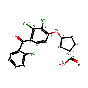 O=C(c1ccccc1Cl)c1ccc(O[C@H]2CC[C@H](C(=O)O)C2)c(Cl)c1Cl